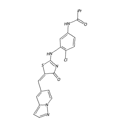 CC(C)C(=O)Nc1ccc(Cl)c(NC2=NC(=O)C(=Cc3ccn4nccc4c3)S2)c1